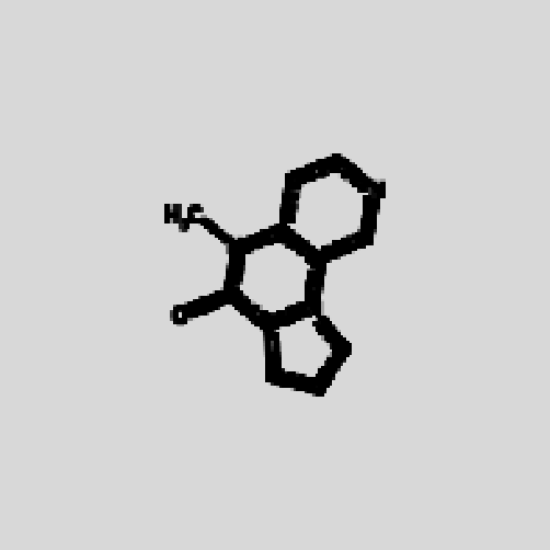 Cn1c(=O)c2cccn2c2cnccc21